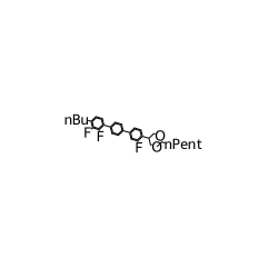 CCCCCC1OCC(c2ccc(-c3ccc(-c4ccc(CCCC)c(F)c4F)cc3)cc2F)CO1